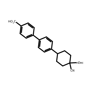 CCCCCCCCCCC1(C#N)CCC(c2ccc(-c3ccc(C(=O)O)cc3)cc2)CC1